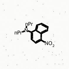 CCCN(CCC)c1ccc([N+](=O)[O-])c2ccccc12